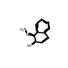 N=C1C=Cc2ccccc2C1=NN